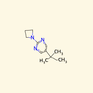 CCC(C)(C)c1cnc(N2CCC2)nc1